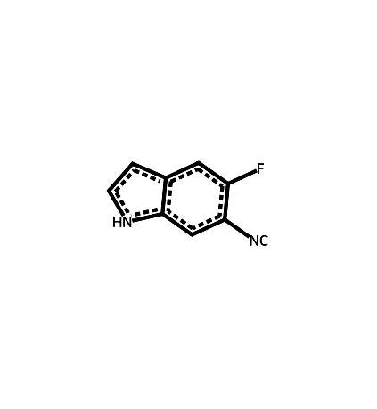 [C-]#[N+]c1cc2[nH]ccc2cc1F